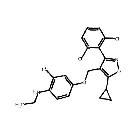 CCNc1ccc(OCc2c(-c3c(Cl)cccc3Cl)noc2C2CC2)cc1Cl